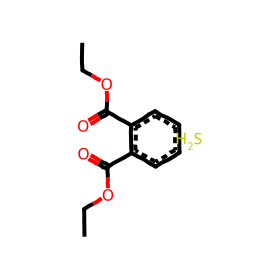 CCOC(=O)c1ccccc1C(=O)OCC.S